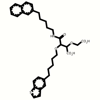 O=C(O)COC(C(=O)O)C(OCCCCCc1ccc2sccc2c1)C(=O)NCCCCCc1ccc2ccccc2c1